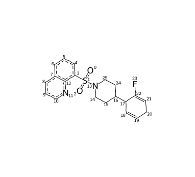 O=S(=O)(c1cccc2cccnc12)N1CCC(C2C=CCC=C2F)CC1